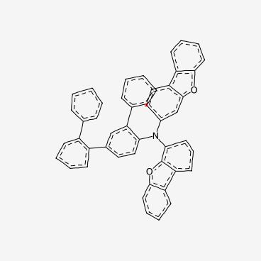 c1ccc(-c2ccccc2-c2ccc(N(c3ccc4c(c3)oc3ccccc34)c3cccc4c3oc3ccccc34)c(-c3ccccc3)c2)cc1